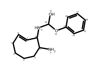 NC1CCCC/C=C/C1NC(O)Oc1ccccc1